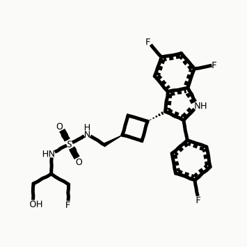 O=S(=O)(NC[C@H]1C[C@H](c2c(-c3ccc(F)cc3)[nH]c3c(F)cc(F)cc32)C1)NC(CO)CF